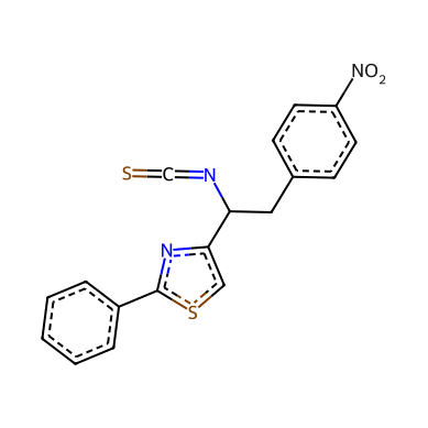 O=[N+]([O-])c1ccc(CC(N=C=S)c2csc(-c3ccccc3)n2)cc1